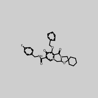 O=C(NCc1ccc(F)cc1)c1cn2c(c(OCc3ccccc3)c1=O)C(=O)N1CC3(CCCCC3)OC1C2